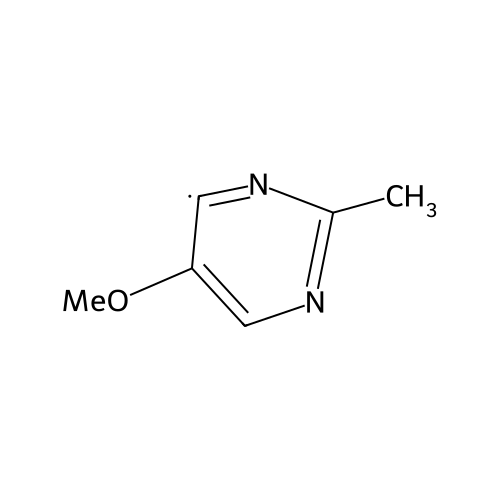 COc1[c]nc(C)nc1